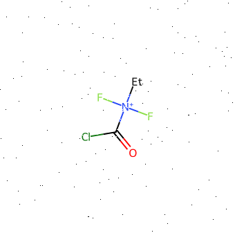 CC[N+](F)(F)C(=O)Cl